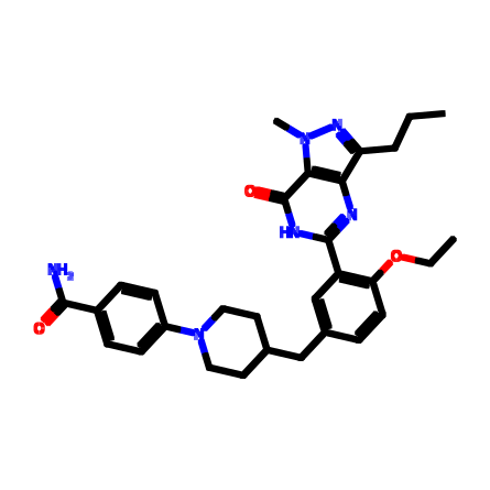 CCCc1nn(C)c2c(=O)[nH]c(-c3cc(CC4CCN(c5ccc(C(N)=O)cc5)CC4)ccc3OCC)nc12